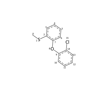 CSc1ccccc1Oc1ccccc1Cl